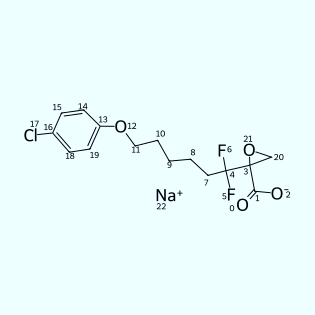 O=C([O-])C1(C(F)(F)CCCCCOc2ccc(Cl)cc2)CO1.[Na+]